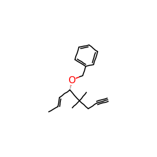 C#CCC(C)(C)[C@H](C=CC)OCc1ccccc1